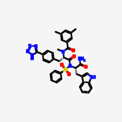 Cc1cc(C)cc(C(=O)N(C)[C@@H](Cc2ccc(-c3nnn[nH]3)cc2)C(=O)N([C@@H](Cc2c[nH]c3ccccc23)C(N)=O)S(=O)(=O)c2ccccc2)c1